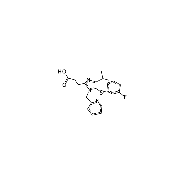 CC(C)c1nc(CCC(=O)O)n(Cc2ccccn2)c1Sc1cccc(F)c1